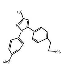 COc1ccc(-n2nc(C(F)(F)F)cc2-c2ccc(CCN)cc2)cc1